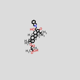 CC(C)C1=C2[C@@]([C@H](O)CN3Cc4ccccc4C3)(CC[C@]3(C)[C@]2(C)CC[C@@H]2[C@@]4(C)CC[C@H](OC(=O)CC(C)(C)C(=O)O)C(C)(C)[C@@H]4CC[C@]23C)CC1=O